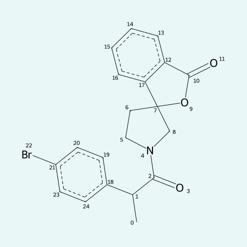 CC(C(=O)N1CCC2(C1)OC(=O)c1ccccc12)c1ccc(Br)cc1